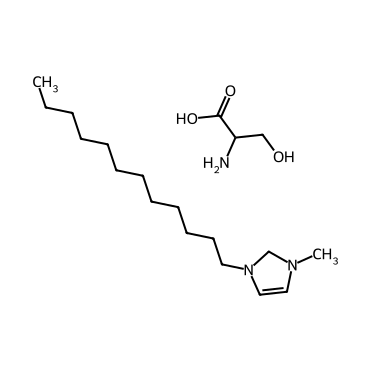 CCCCCCCCCCCCN1C=CN(C)C1.NC(CO)C(=O)O